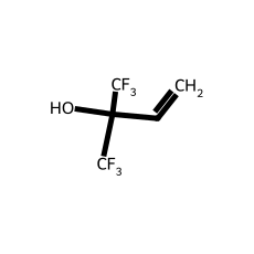 C=CC(O)(C(F)(F)F)C(F)(F)F